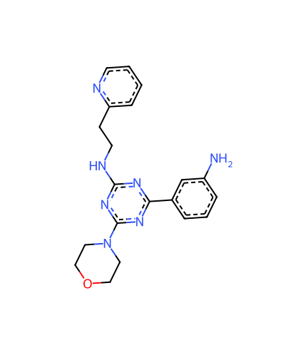 Nc1cccc(-c2nc(NCCc3ccccn3)nc(N3CCOCC3)n2)c1